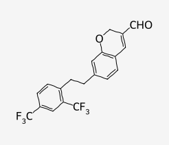 O=CC1=Cc2ccc(CCc3ccc(C(F)(F)F)cc3C(F)(F)F)cc2OC1